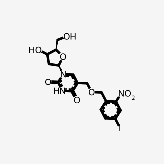 O=c1[nH]c(=O)n([C@H]2CC(O)[C@@H](CO)O2)cc1COCc1ccc(I)cc1[N+](=O)[O-]